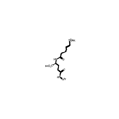 CCCCCCCCCCCCCCC(=O)N[C@@H](CCC(=O)NCCC)C(=O)O